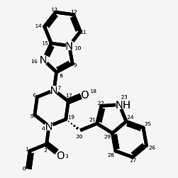 C=CC(=O)N1CCN(c2cn3ccccc3n2)C(=O)[C@@H]1Cc1c[nH]c2ccccc12